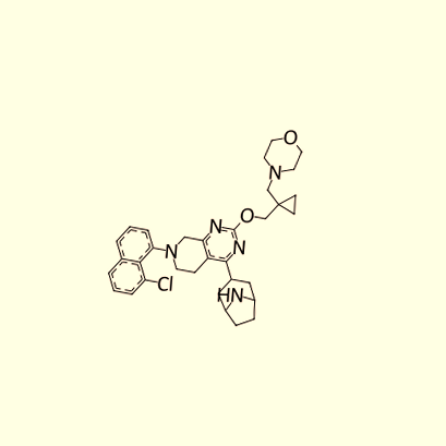 Clc1cccc2cccc(N3CCc4c(nc(OCC5(CN6CCOCC6)CC5)nc4C4CC5CCC(C4)N5)C3)c12